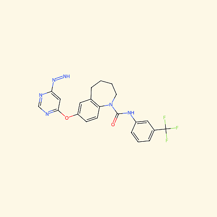 N=Nc1cc(Oc2ccc3c(c2)CCCCN3C(=O)Nc2cccc(C(F)(F)F)c2)ncn1